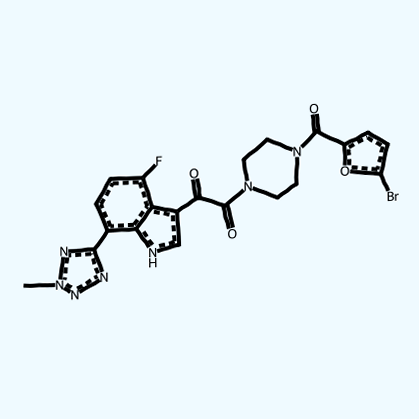 Cn1nnc(-c2ccc(F)c3c(C(=O)C(=O)N4CCN(C(=O)c5ccc(Br)o5)CC4)c[nH]c23)n1